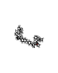 COC(=O)NC(C(=O)N1C2CCC(C2)C1c1ncc(-c2ccc(-c3ccc4cc(-c5cnc(C6CCCN6C(=O)C(NC(=O)OC)C(C)C)[nH]5)ccc4c3)cc2)[nH]1)c1ccccc1